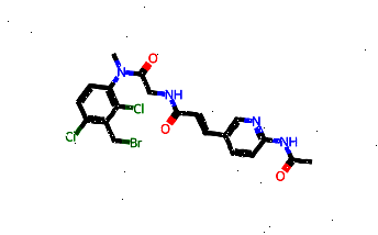 CC(=O)Nc1ccc(C=CC(=O)NCC(=O)N(C)c2ccc(Cl)c(CBr)c2Cl)cn1